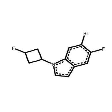 Fc1cc2ccn(C3CC(F)C3)c2cc1Br